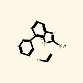 C=C[O].O=S(=O)(O)c1nc2cccc(-c3ccccc3)c2[nH]1